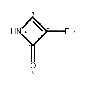 O=C1NC=C1F